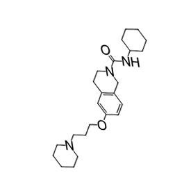 O=C(NC1CCCCC1)N1CCc2cc(OCCCN3CCCCC3)ccc2C1